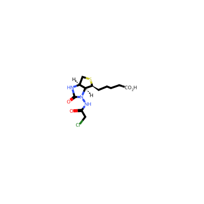 O=C(O)CCCC[C@@H]1SC[C@@H]2NC(=O)N(NC(=O)CCl)[C@@H]21